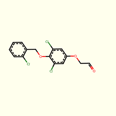 O=CCOc1cc(Cl)c(OCc2ccccc2Cl)c(Cl)c1